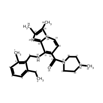 CCc1cccc(C)c1CNc1c(C(=O)N2CCN(C)CC2)ccn2c(C)c(C)nc12